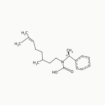 CC(C)=CCCC(C)CCN(C(=O)O)[C@@H](C)c1ccccc1